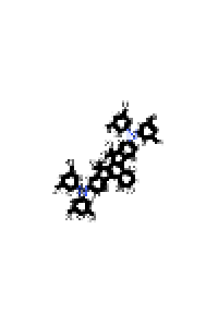 Cc1cc(C)cc(N(c2cc(C)cc(C)c2)c2ccc3c(c2)C(C)(C)c2c4c(c5ccccc5c2-3)-c2ccc(N(c3cc(C)cc(C)c3)c3cc(C)cc(C)c3)cc2C4(C)C)c1